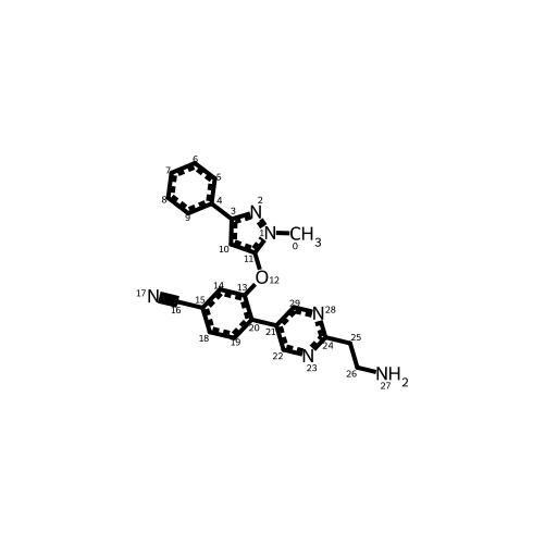 Cn1nc(-c2ccccc2)cc1Oc1cc(C#N)ccc1-c1cnc(CCN)nc1